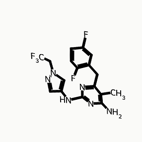 Cc1c(N)nc(Nc2cnn(CC(F)(F)F)c2)nc1Cc1cc(F)ccc1F